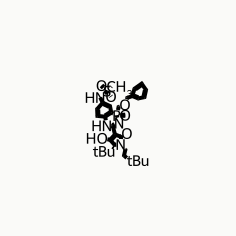 CC(C)(C)CCN1C(=O)C(C2=NP(=O)(COCc3ccccc3)c3cc(NS(C)(=O)=O)ccc3N2)=C(O)[C@@H]1C(C)(C)C